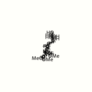 COc1cc(-n2c(N(C)c3ccc(OC)c(OC)c3)cnc2SCc2c(F)cc(OCCCN(C)CC(O)C(O)[C@H](O)[C@H](O)CO)cc2F)ccc1F